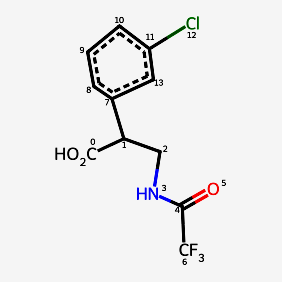 O=C(O)C(CNC(=O)C(F)(F)F)c1cccc(Cl)c1